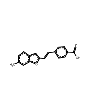 Cc1ccc2cc(/C=C/c3ccc(C(=O)O)cc3)oc2c1